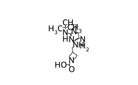 CC(C)(C)Nc1ncc(N)c(NCC2CCN(C(=O)O)C2)n1